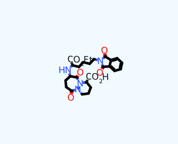 CCOC(=O)C(CCCCN1C(=O)c2ccccc2C1=O)NC1CCC(=O)N2CCCC(C(=O)O)N2C1=O